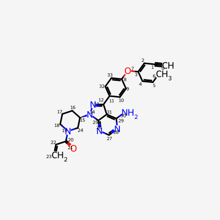 C#C/C=C(\C=C/C)Oc1ccc(-c2nn([C@@H]3CCCN(C(=O)C=C)C3)c3ncnc(N)c23)cc1